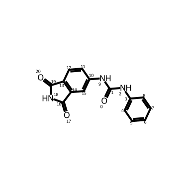 O=C(Nc1ccccc1)Nc1ccc2c(c1)C(=O)NC2=O